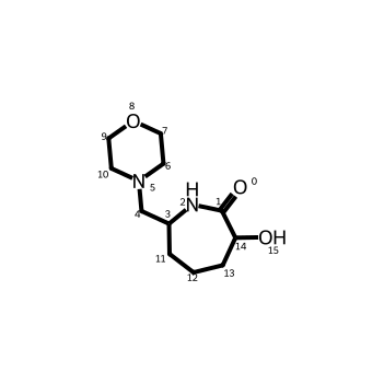 O=C1NC(CN2CCOCC2)CCCC1O